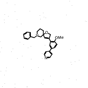 COc1ccc(-c2ccncc2)cc1C1=CC2(CCCN(Cc3ccccc3)C2)OC1